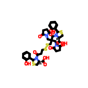 O=C(O)[C@@H]1CSC(c2ccccc2O)N1C(=O)CCSSCC(CN1C(=O)CCC1=O)(CN1C(=O)CCC1=O)C(=O)N1C(c2ccccc2O)SC[C@H]1C(=O)O